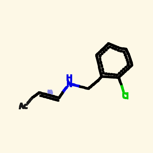 CC(=O)/C=C/NCc1ccccc1Cl